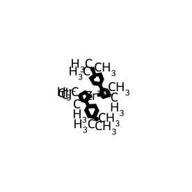 CC1=C(C)C(c2ccc(C(C)(C)C)cc2)=[C]([Zr+2][C]2=C(c3ccc(C(C)(C)C)cc3)C(C)=C(C)C2)C1.[Cl-].[Cl-]